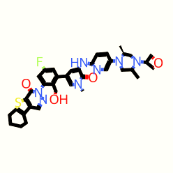 CC1CN(c2ccc(Nc3cc(-c4cc(F)cc(-n5ncc6c7c(sc6c5=O)CCCC7)c4CO)cn(C)c3=O)nc2)[C@@H](C)CN1C1COC1